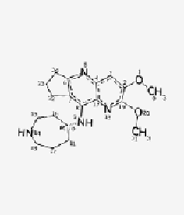 COc1cc2nc3c(c(N[C@@H]4CCCNCC4)c2nc1OC)CCC3